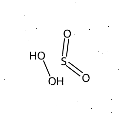 O=S=O.OO